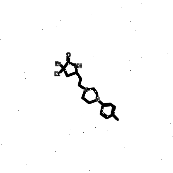 CCC1(CC)CC(CCN2CCN(c3ccc(C)cc3)CC2)NC1=O